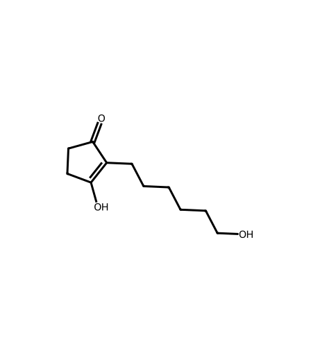 O=C1CCC(O)=C1CCCCCCO